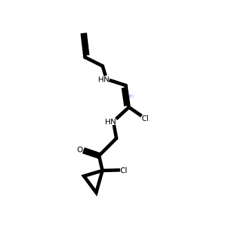 C=CCN/C=C(/Cl)NCC(=O)C1(Cl)CC1